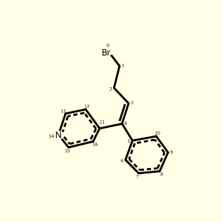 BrCCC=C(c1ccccc1)c1ccncc1